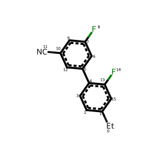 CCc1ccc(-c2cc(F)cc(C#N)c2)c(F)c1